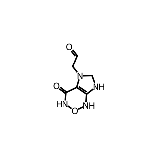 O=CCN1CNC2=C1C(=O)NON2